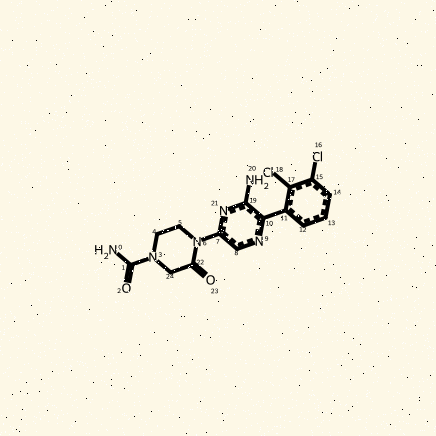 NC(=O)N1CCN(c2cnc(-c3cccc(Cl)c3Cl)c(N)n2)C(=O)C1